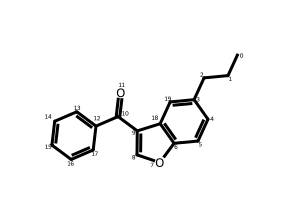 CCCc1ccc2occ(C(=O)c3ccccc3)c2c1